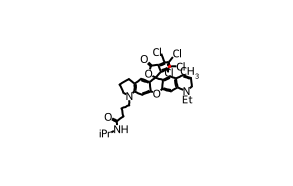 CCN1CC=C(C)c2cc3c(cc21)Oc1cc2c(cc1C31OC(=O)c3c(Cl)c(Cl)c(Cl)c(Cl)c31)CCCN2CCCC(=O)NC(C)C